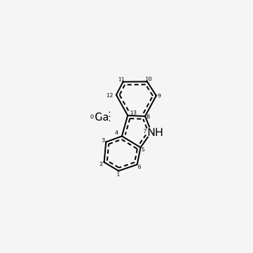 [Ga].c1ccc2c(c1)[nH]c1ccccc12